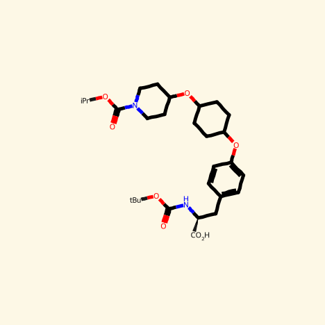 CC(C)OC(=O)N1CCC(OC2CCC(Oc3ccc(C[C@H](NC(=O)OC(C)(C)C)C(=O)O)cc3)CC2)CC1